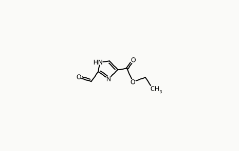 CCOC(=O)c1c[nH]c(C=O)n1